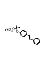 CCOC(=O)C(C)(C)Oc1ccc(C=Nc2ccccc2)cc1